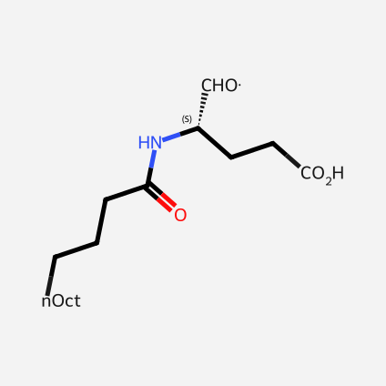 CCCCCCCCCCCC(=O)N[C@H]([C]=O)CCC(=O)O